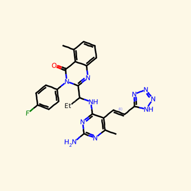 CCC(Nc1nc(N)nc(C)c1/C=C/c1nnn[nH]1)c1nc2cccc(C)c2c(=O)n1-c1ccc(F)cc1